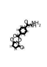 NNC(=O)c1ccc(C(=O)ON2C(=O)CCC2=O)cc1